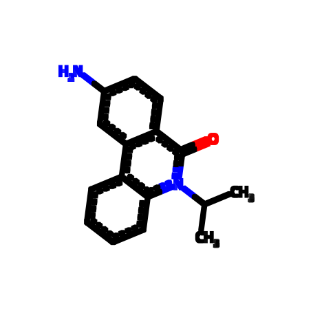 CC(C)n1c(=O)c2ccc(N)cc2c2ccccc21